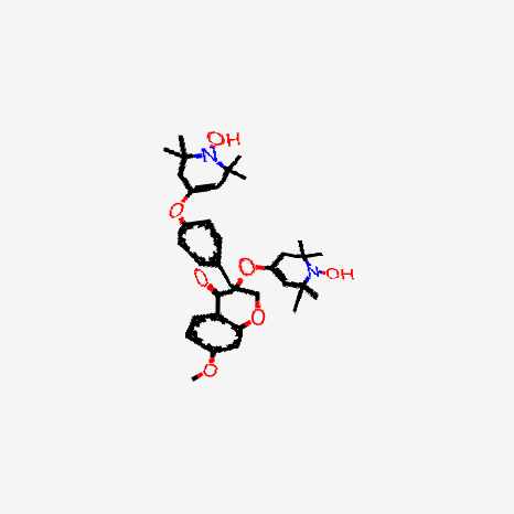 COc1ccc2c(c1)OCC(OC1=CC(C)(C)N(O)C(C)(C)C1)(c1ccc(OC3=CC(C)(C)N(O)C(C)(C)C3)cc1)C2=O